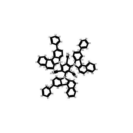 N#Cc1c(-n2c3ccc(-c4ccccc4)cc3c3c4ccccc4ccc32)c(C#N)c(-n2c3ccc(-c4ccccc4)cc3c3c4ccccc4ccc32)c(C#N)c1-n1c2ccc(-c3ccccc3)cc2c2c3ccccc3ccc21